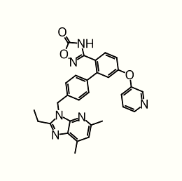 CCc1nc2c(C)cc(C)nc2n1Cc1ccc(-c2cc(Oc3cccnc3)ccc2-c2noc(=O)[nH]2)cc1